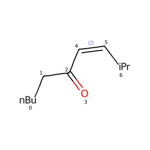 CCCCCC(=O)/C=C\C(C)C